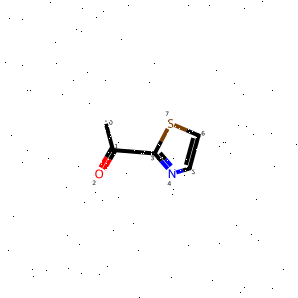 [CH2]C(=O)c1nccs1